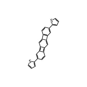 c1csc(-c2ccc3c(c2)c2cc4c5ccc(-c6cccs6)cc5c4cc32)c1